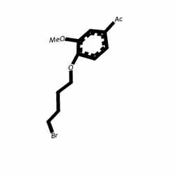 COc1cc(C(C)=O)ccc1OCCCCBr